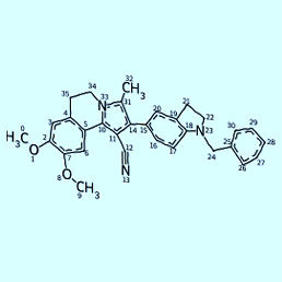 COc1cc2c(cc1OC)-c1c(C#N)c(-c3ccc4c(c3)CCN4Cc3ccccc3)c(C)n1CC2